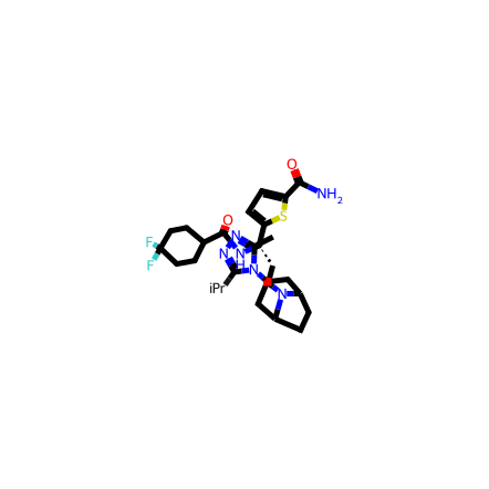 Cc1nnc(C(C)C)n1C1CC2CCC(C1)N2CC[C@H](NC(=O)C1CCC(F)(F)CC1)c1ccc(C(N)=O)s1